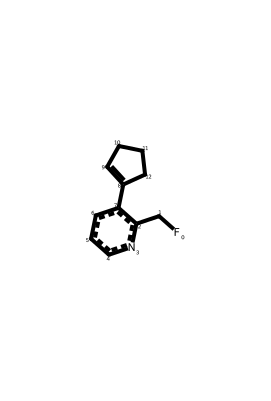 FCc1ncccc1C1=CCCC1